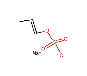 CC=COS(=O)(=O)[O-].[Na+]